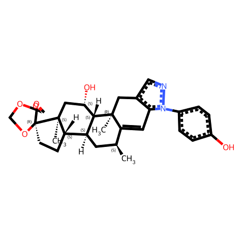 C[C@H]1C[C@@H]2[C@H]([C@@H](O)C[C@@]3(C)[C@H]2CC[C@@]32OCOC23COCO3)[C@@]2(C)Cc3cnn(-c4ccc(O)cc4)c3C=C12